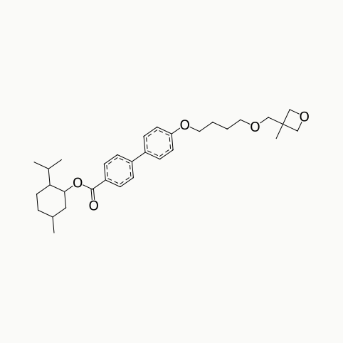 CC1CCC(C(C)C)C(OC(=O)c2ccc(-c3ccc(OCCCCOCC4(C)COC4)cc3)cc2)C1